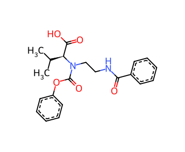 CC(C)[C@@H](C(=O)O)N(CCNC(=O)c1ccccc1)C(=O)Oc1ccccc1